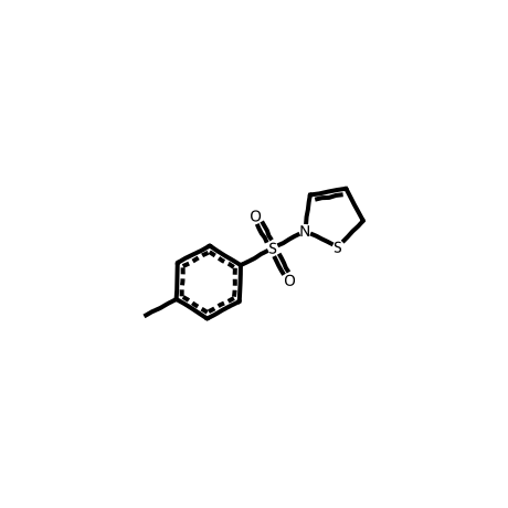 Cc1ccc(S(=O)(=O)N2C=CCS2)cc1